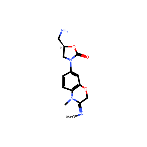 CON=C1COc2cc(N3C[C@@H](CN)OC3=O)ccc2N1C